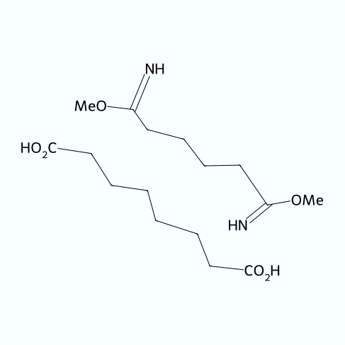 COC(=N)CCCCC(=N)OC.O=C(O)CCCCCCC(=O)O